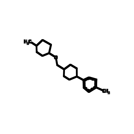 Cc1ccc(C2CCC(COC3CCC(C)CC3)CC2)cc1